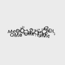 COc1cc(NC(=O)/C=C/c2ccc(OC)c(OC)c2OC)ccc1C1=CC=C(C)OC1